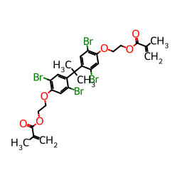 C=C(C)C(=O)OCCOc1cc(Br)c(C(C)(C)c2cc(Br)c(OCCOC(=O)C(=C)C)cc2Br)cc1Br